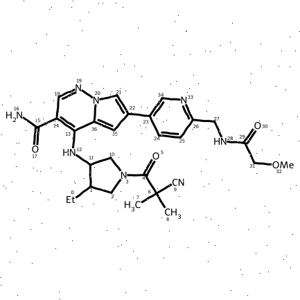 CCC1CN(C(=O)C(C)(C)C#N)CC1Nc1c(C(N)=O)cnn2cc(-c3ccc(CNC(=O)COC)nc3)cc12